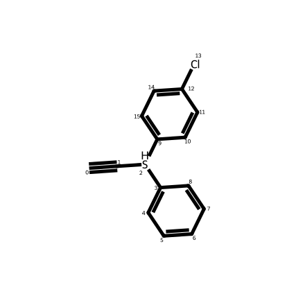 C#C[SH](c1ccccc1)c1ccc(Cl)cc1